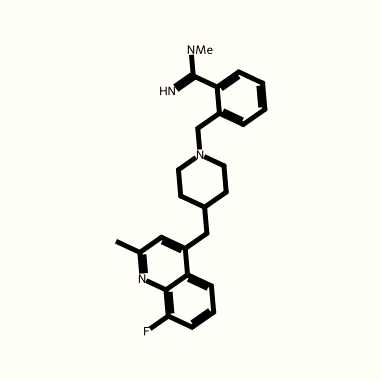 CNC(=N)c1ccccc1CN1CCC(Cc2cc(C)nc3c(F)cccc23)CC1